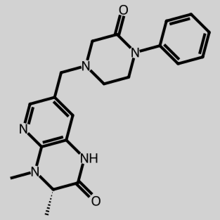 C[C@H]1C(=O)Nc2cc(CN3CCN(c4ccccc4)C(=O)C3)cnc2N1C